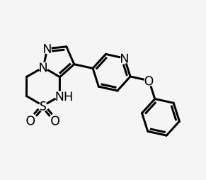 O=S1(=O)CCn2ncc(-c3ccc(Oc4ccccc4)nc3)c2N1